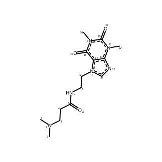 CN(C)CCC(=O)NCCn1cnc2c1c(=O)n(C)c(=O)n2C